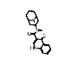 CN(C(=O)c1c[nH]c2ccccc2c1=O)C1CC2CCCC(C1)N2C